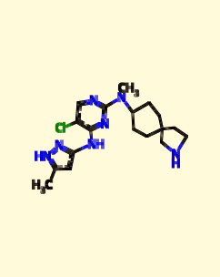 Cc1cc(Nc2nc(N(C)C3CCC4(CCNC4)CC3)ncc2Cl)n[nH]1